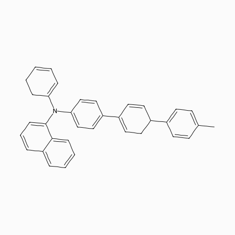 Cc1ccc(C2C=CC(c3ccc(N(C4=CC=CCC4)c4cccc5ccccc45)cc3)=CC2)cc1